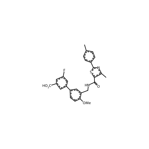 COc1ccc(-c2cc(F)cc(C(=O)O)c2)cc1CNC(=O)c1sc(-c2ccc(C)cc2)nc1C